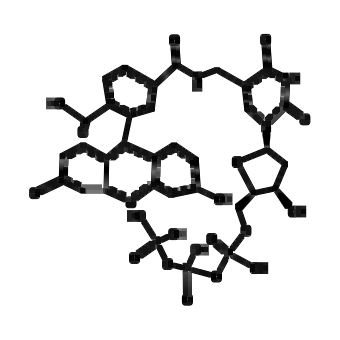 O=C(NCc1cn([C@H]2C[C@@H](O)[C@@H](COP(=O)(O)OP(=O)(O)OP(=O)(O)O)O2)c(=O)[nH]c1=O)c1ccc(C(=O)O)c(-c2c3ccc(=O)cc-3oc3cc(O)ccc23)c1